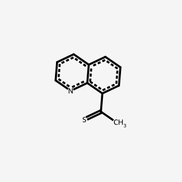 CC(=S)c1cccc2cccnc12